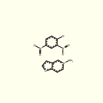 N[n+]1ccc2occc2c1.O=[N+]([O-])c1ccc([O-])c([N+](=O)[O-])c1